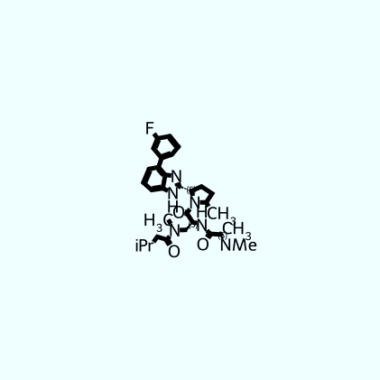 CN[C@@H](C)C(=O)N[C@@H](CN(C)C(=O)CC(C)C)C(=O)N1C(C)CC[C@H]1c1nc2c(-c3cccc(F)c3)cccc2[nH]1